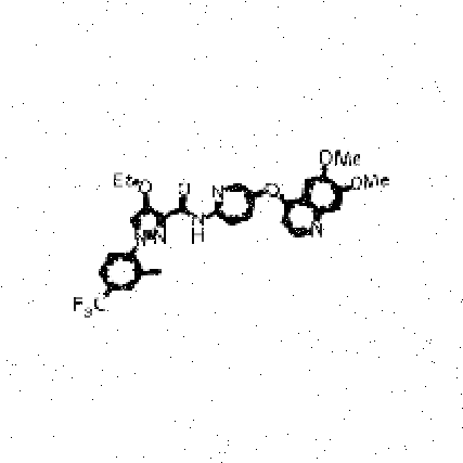 CCOc1cn(-c2ccc(C(F)(F)F)cc2C)nc1C(=O)Nc1ccc(Oc2ccnc3cc(OC)c(OC)cc23)cn1